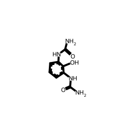 NC(=O)Nc1cccc(NC(N)=O)c1O